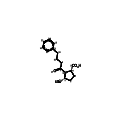 CC(C)(C)[C@H]1CC[C@@H](C(=O)O)N1C(=O)CCCc1ccccc1